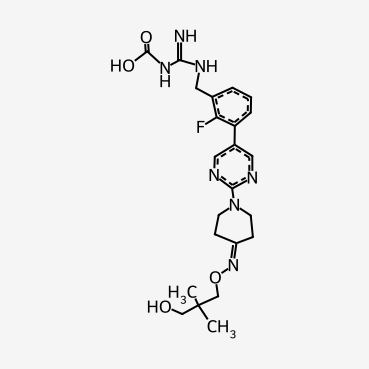 CC(C)(CO)CON=C1CCN(c2ncc(-c3cccc(CNC(=N)NC(=O)O)c3F)cn2)CC1